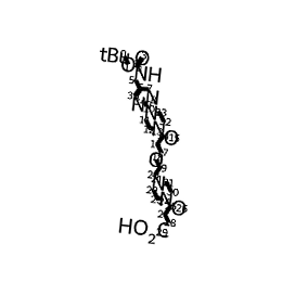 CC(C)(C)OC(=O)NCc1cnc(N2CCN(C(=O)CCOCCN3CCN(C(=O)CCC(=O)O)CC3)CC2)nc1